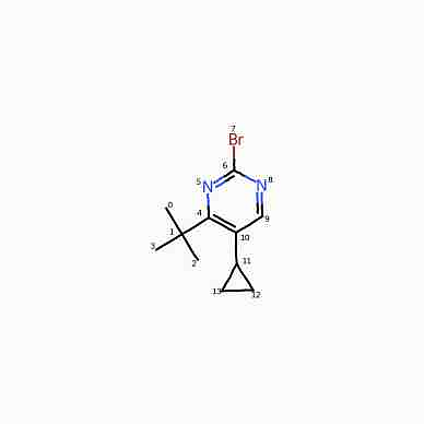 CC(C)(C)c1nc(Br)ncc1C1CC1